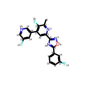 Cc1nc(-c2noc(-c3cccc(F)c3)n2)cc(-c2cncc(F)c2)c1F